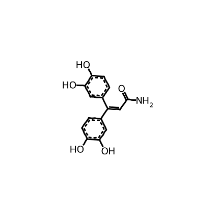 NC(=O)C=C(c1ccc(O)c(O)c1)c1ccc(O)c(O)c1